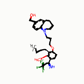 CCCc1c(OCCCN2CCCc3cc(CO)ccc32)ccc(C(=N)C(F)(F)F)c1O